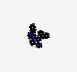 c1ccc(-n2c(-c3cc(-c4cccnc4)cc(-c4cc5ccccc5c5ccccc45)c3)nc3c(-c4ccc5ccccc5c4)nccc32)cc1